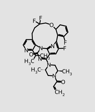 C=CC(=O)N1C[C@H](C)N(c2nc(=O)n3c4nc(c(F)cc24)C2=C(F)C=CCC2OCC(F)(F)CCc2ccnc(C(C)C)c2-3)C[C@H]1C